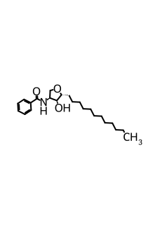 CCCCCCCCCCCC[C@H]1OC[C@H](NC(=O)c2ccccc2)[C@@H]1O